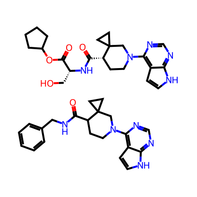 O=C(NCc1ccccc1)C1CCN(c2ncnc3[nH]ccc23)CC12CC2.O=C(N[C@H](CO)C(=O)OC1CCCC1)[C@H]1CCN(c2ncnc3[nH]ccc23)CC12CC2